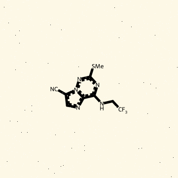 CSc1nc(NCC(F)(F)F)c2ncc(C#N)n2n1